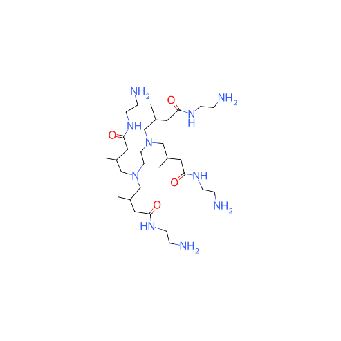 CC(CC(=O)NCCN)CN(CCN(CC(C)CC(=O)NCCN)CC(C)CC(=O)NCCN)CC(C)CC(=O)NCCN